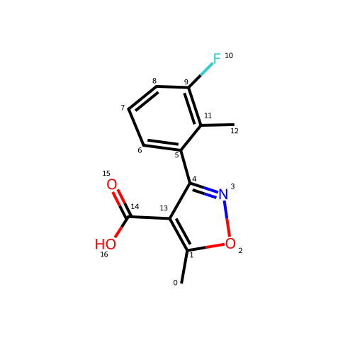 Cc1onc(-c2cccc(F)c2C)c1C(=O)O